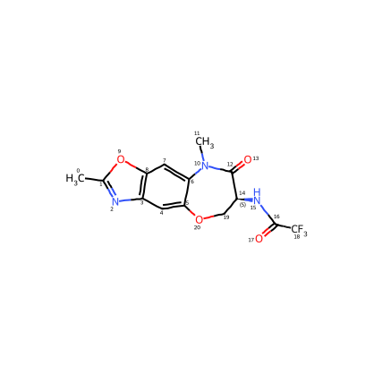 Cc1nc2cc3c(cc2o1)N(C)C(=O)[C@@H](NC(=O)C(F)(F)F)CO3